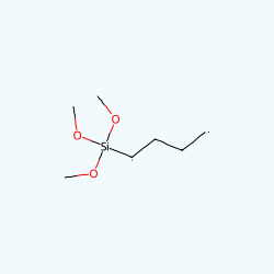 [CH2]CC[CH][Si](OC)(OC)OC